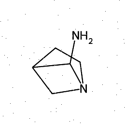 NC1C2CCN1C2